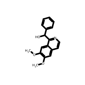 COc1cc2ccnc(C(O)c3ccccc3)c2cc1OC